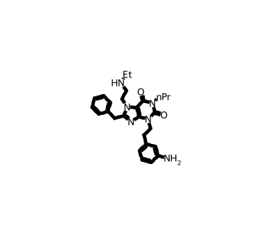 CCCn1c(=O)c2c(nc(Cc3ccccc3)n2CCNCC)n(CCc2cccc(N)c2)c1=O